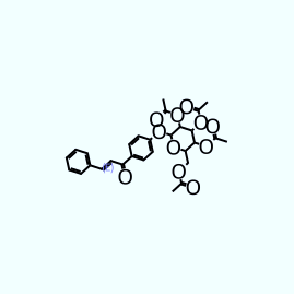 CC(=O)OCC1OC(Oc2ccc(C(=O)/C=C/c3ccccc3)cc2)C(OC(C)=O)C(OC(C)=O)C1OC(C)=O